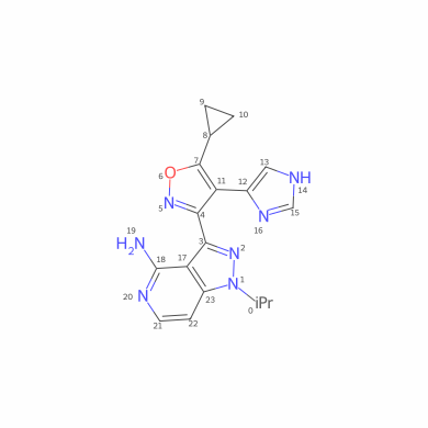 CC(C)n1nc(-c2noc(C3CC3)c2-c2c[nH]cn2)c2c(N)nccc21